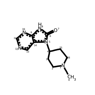 CN1CCC(n2c(=O)[nH]c3ncncc32)CC1